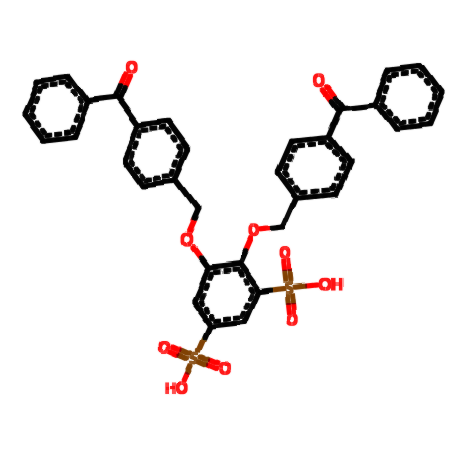 O=C(c1ccccc1)c1ccc(COc2cc(S(=O)(=O)O)cc(S(=O)(=O)O)c2OCc2ccc(C(=O)c3ccccc3)cc2)cc1